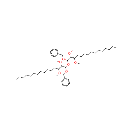 CCCCCCCCCCCCC(OC)=C(OC)C(OCc1ccccc1)OC(OCc1ccccc1)C(OC)=C(CCCCCCCCCCCC)OC